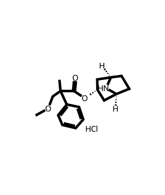 COCC(C)(C(=O)O[C@@H]1C[C@H]2CC[C@@H](C1)N2)c1ccccc1.Cl